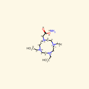 CC(=O)CN1CCN(CC(=O)O)CCN(CC(=O)O)CCN(CC(=O)ON)CC1